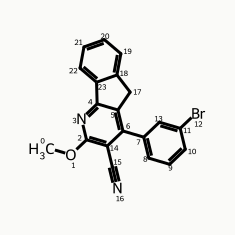 COc1nc2c(c(-c3cccc(Br)c3)c1C#N)Cc1ccccc1-2